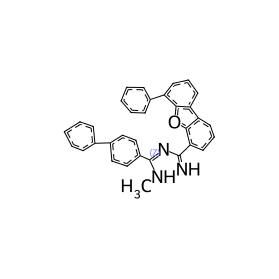 CN/C(=N\C(=N)c1cccc2c1oc1c(-c3ccccc3)cccc12)c1ccc(-c2ccccc2)cc1